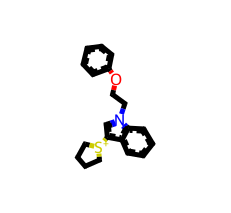 c1ccc(OCCn2cc([S+]3CCCC3)c3ccccc32)cc1